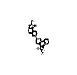 CCc1nc2c3ccccc3c3cc(-c4ccc5c(c4)CCc4nc(C(C)C)[nH]c4-5)ccc3c2[nH]1